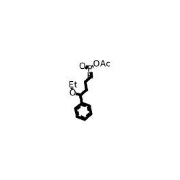 CCOC(CCC[PH](=O)OC(C)=O)c1ccccc1